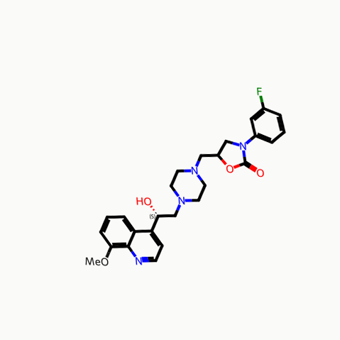 COc1cccc2c([C@H](O)CN3CCN(CC4CN(c5cccc(F)c5)C(=O)O4)CC3)ccnc12